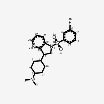 CN(C)C1CCC(C2CN(S(=O)(=O)c3cccc(F)c3)c3cccnc32)CC1